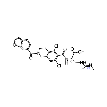 C/N=C(\C)NC[C@H](NC(=O)c1c(Cl)cc2c(c1Cl)CCN(C(=O)c1ccc3ccoc3c1)C2)C(=O)O